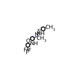 C/C(=N\NSc1ccc(C)cc1)c1ccc2c(c1)Nc1cc(C(F)(F)F)ccc1O2